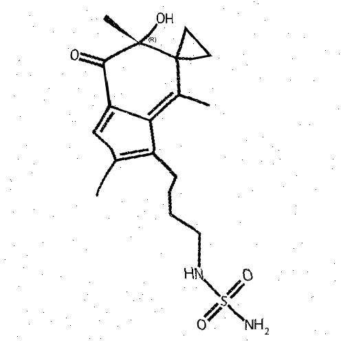 CC1=C(CCCNS(N)(=O)=O)C2=C(C)C3(CC3)[C@@](C)(O)C(=O)C2=C1